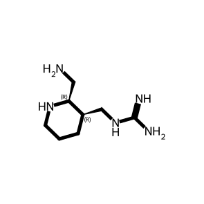 N=C(N)NC[C@H]1CCCN[C@H]1CN